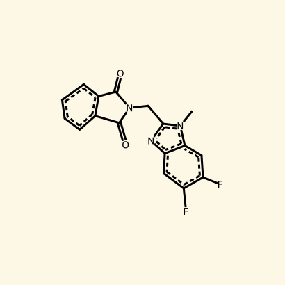 Cn1c(CN2C(=O)c3ccccc3C2=O)nc2cc(F)c(F)cc21